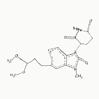 COC(CCc1ccc2c(c1)n(C)c(=O)n2C1CCC(=O)NC1=O)OC